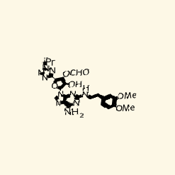 COc1ccc(CCNc2nc(N)c3ncn([C@@H]4O[C@H](c5nnn(C(C)C)n5)[C@@H](OC=O)[C@H]4O)c3n2)cc1OC